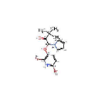 CC(C)(C)C(=O)C(Oc1ccc(Br)nc1Br)n1cccc1